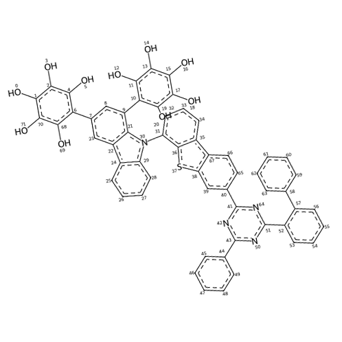 Oc1c(O)c(O)c(-c2cc(-c3c(O)c(O)c(O)c(O)c3O)c3c(c2)c2ccccc2n3-c2cccc3c2sc2cc(-c4nc(-c5ccccc5)nc(-c5ccccc5-c5ccccc5)n4)ccc23)c(O)c1O